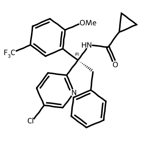 COc1ccc(C(F)(F)F)cc1[C@@](Cc1ccccc1)(NC(=O)C1CC1)c1ccc(Cl)cn1